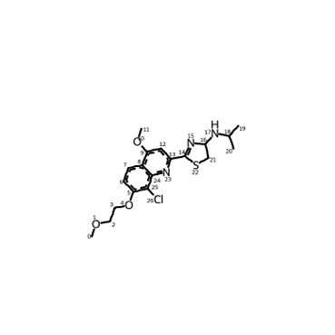 COCCOc1ccc2c(OC)cc(C3=NC(NC(C)C)CS3)nc2c1Cl